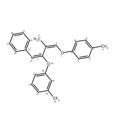 CC(=COc1ccc(C)cc1)/C(=N\c1ccccc1)Oc1cccc(C(F)(F)F)c1